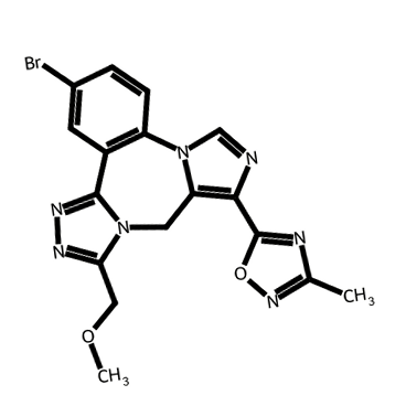 COCc1nnc2n1Cc1c(-c3nc(C)no3)ncn1-c1ccc(Br)cc1-2